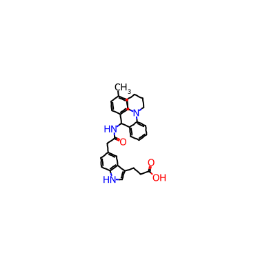 Cc1ccc(C(NC(=O)Cc2ccc3[nH]cc(CCC(=O)O)c3c2)c2ccccc2N2CCCCC2)cc1